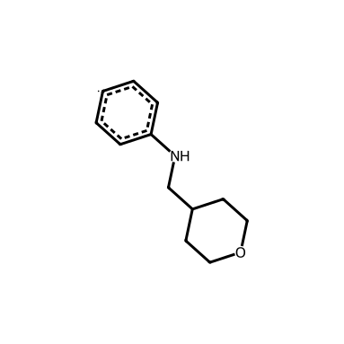 [c]1ccc(NCC2CCOCC2)cc1